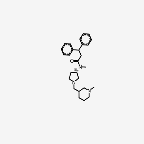 CN1CCCC(CN2CC[C@H](N(C)C(=O)CC(c3ccccc3)c3ccccc3)C2)C1